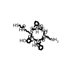 C[C@@H](O)[C@@H]1NC(=O)[C@H](CCCCN)NC(=O)[C@@H](Cc2c[nH]c3ccccc23)NC(=O)[C@H](Cc2ccc(O)cc2)NC(=O)[C@H](CCCCNC(=O)CCS)N(C)C(=O)[C@H](Cc2ccccc2)NC1=O